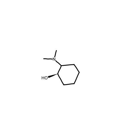 CN(C)C1CCCC[C@H]1O